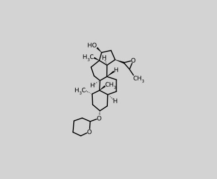 CC1OC1[C@@H]1C[C@H](O)[C@@]2(C)CC[C@H]3[C@@H](CC[C@H]4C[C@H](OC5CCCCO5)C[C@H](C)[C@@]43C)[C@H]12